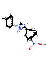 Cc1ccc(-[15n]2c[15n]c(-c3ccc([N+](=O)[O-])cc3)[15n]2)cc1